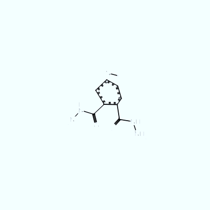 NNC(=O)c1ccccc1C(=O)NN.NO